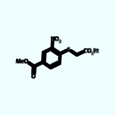 CCOC(=O)CSc1ccc(C(=O)OC)cc1[N+](=O)[O-]